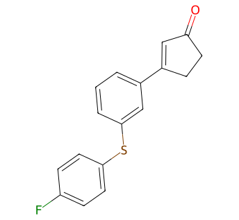 O=C1C=C(c2cccc(Sc3ccc(F)cc3)c2)CC1